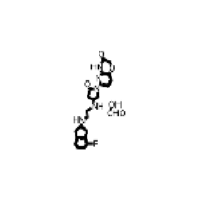 O=C1COc2ccc(N3CC(NCCNC4Cc5cccc(F)c5C4)CC3=O)nc2N1.O=CO